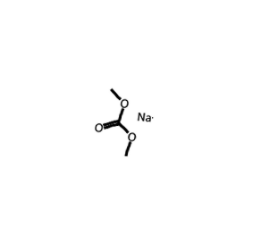 COC(=O)OC.[Na]